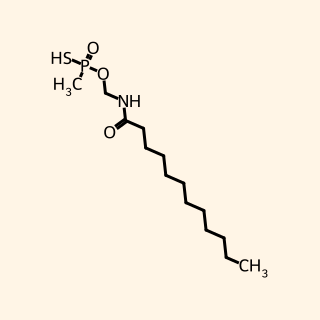 CCCCCCCCCCCC(=O)NCOP(C)(=O)S